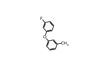 Cc1cccc(Oc2cccc(F)c2)c1